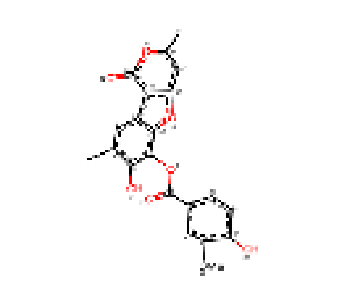 COc1cc(C(=O)Oc2c(O)c(C)cc3c2oc2cc(C)oc(=O)c23)ccc1O